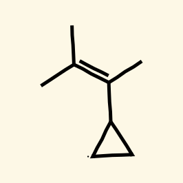 CC(C)=C(C)C1[CH]C1